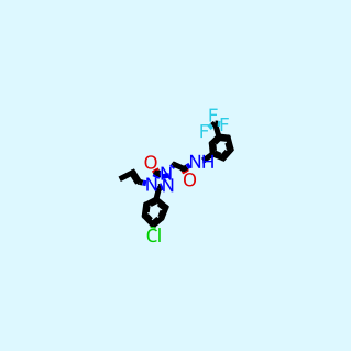 CC=Cn1c(-c2ccc(Cl)cc2)nn(CC(=O)NCc2cccc(C(F)(F)F)c2)c1=O